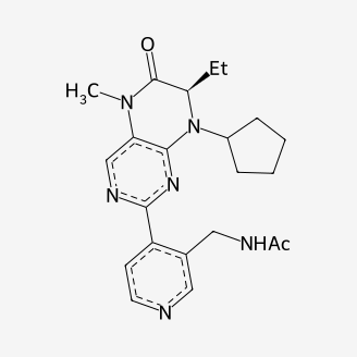 CC[C@@H]1C(=O)N(C)c2cnc(-c3ccncc3CNC(C)=O)nc2N1C1CCCC1